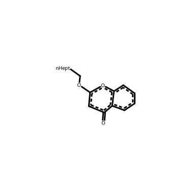 CCCCCCCCOc1cc(=O)c2ccccc2o1